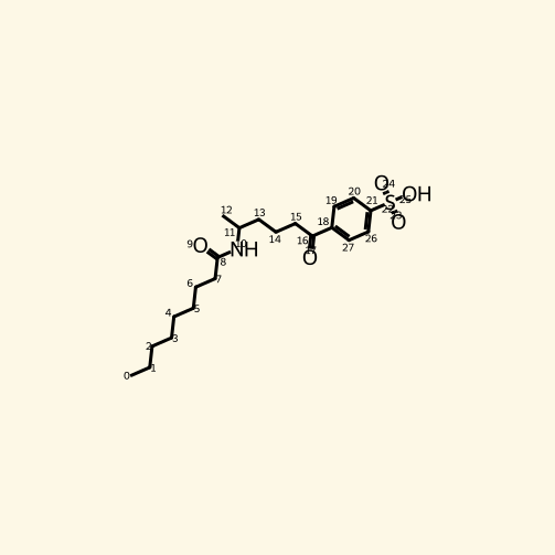 CCCCCCCCC(=O)NC(C)CCCC(=O)c1ccc(S(=O)(=O)O)cc1